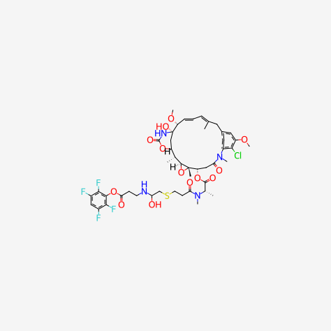 COc1cc2cc(c1Cl)N(C)C(=O)C[C@H](OC(=O)[C@H](C)N(C)C(=O)CCSCC(O)NCCC(=O)Oc1c(F)c(F)cc(F)c1F)[C@]1(C)O[C@H]1[C@H](C)[C@@H]1C[C@@](O)(NC(=O)O1)[C@H](OC)/C=C/C=C(\C)C2